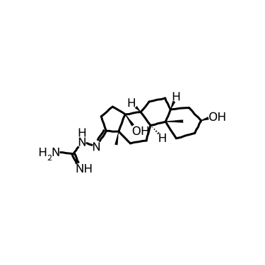 C[C@]12CC[C@H](O)C[C@H]1CC[C@@H]1[C@@H]2CC[C@]2(C)C(=NNC(=N)N)CC[C@]12O